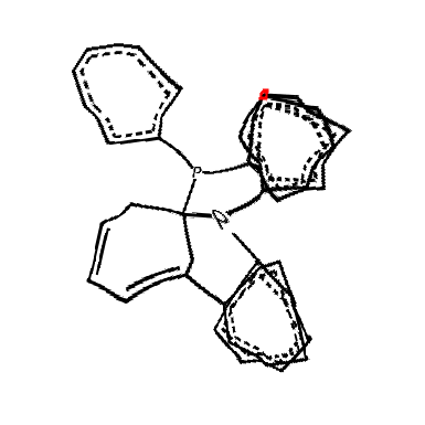 C1=CCC(P(c2ccccc2)c2ccccc2)(P(c2ccccc2)c2ccccc2)C(c2ccccc2)=C1